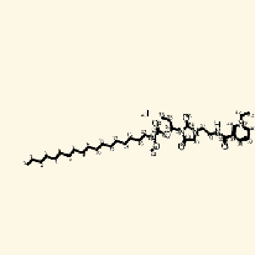 CCCCCCCCCCCCCCCCCCN(OC)C(=O)OC(CC)N1C(=O)CN(CCNC(=O)c2ccc[n+](CC)c2)C1=O.[I-]